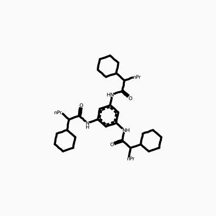 CCCC(C(=O)Nc1cc(NC(=O)C(CCC)C2CCCCC2)cc(NC(=O)C(CCC)C2CCCCC2)c1)C1CCCCC1